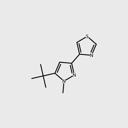 Cn1nc(-c2cscn2)cc1C(C)(C)C